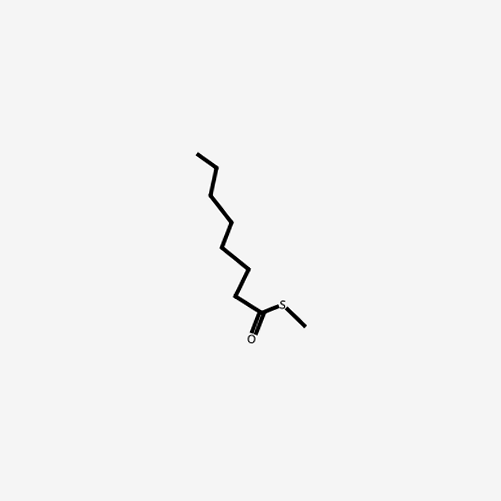 CCCCCCCC(=O)SC